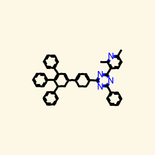 Cc1ccc(-c2nc(C3=CC=C(C4=CC(c5ccccc5)=C(c5ccccc5)C(c5ccccc5)C4)CC3)nc(-c3ccccc3)n2)c(C)n1